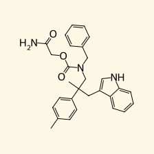 Cc1ccc(C(C)(Cc2c[nH]c3ccccc23)CN(Cc2ccccc2)C(=O)OCC(N)=O)cc1